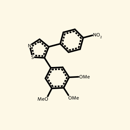 COc1cc(-c2sncc2-c2ccc([N+](=O)[O-])cc2)cc(OC)c1OC